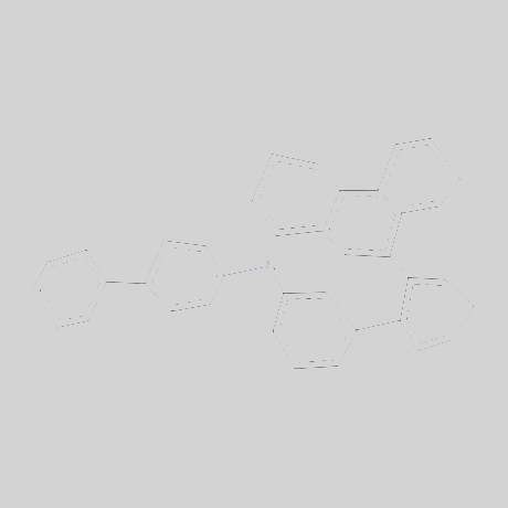 c1ccc(-c2ccc(Nc3cccc(-c4ccccc4-c4cc5ccccc5c5ccccc45)c3)cc2)cc1